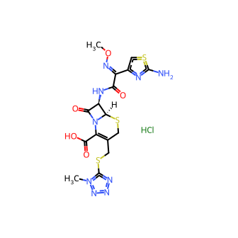 CON=C(C(=O)N[C@@H]1C(=O)N2C(C(=O)O)=C(CSc3nnnn3C)CS[C@H]12)c1csc(N)n1.Cl